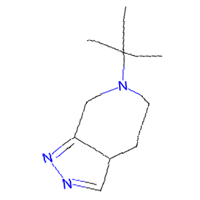 CC(C)(C)N1CCC2C=NN=C2C1